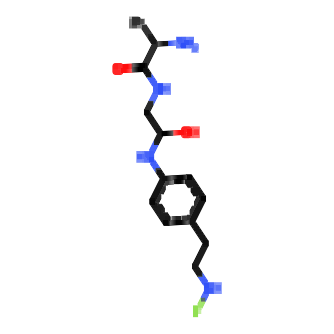 CC(C)C(N)C(=O)NCC(O)Nc1ccc(CCNF)cc1